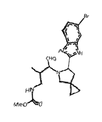 COC(=O)NCC(C)C(C=O)N1CC2(CC2)CC1c1nc2ccc(Br)cc2[nH]1